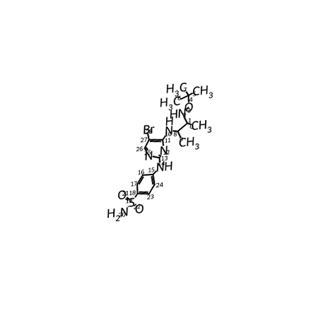 CC(NOC(C)(C)C)C(C)Nc1nc(Nc2ccc(S(N)(=O)=O)cc2)ncc1Br